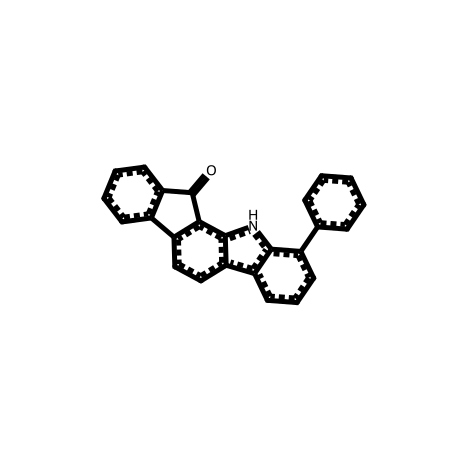 O=C1c2ccccc2-c2ccc3c([nH]c4c(-c5ccccc5)cccc43)c21